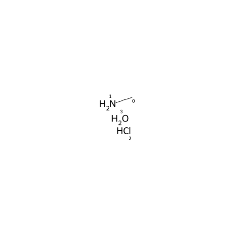 CN.Cl.O